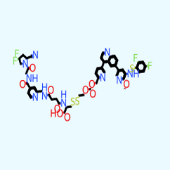 COc1ncc(-c2ccc3nccc(-c4ccc(COC(=O)OCCSSCC(NC(=O)CCC(=O)NCc5cc(C(=O)NCC(=O)N6CC(F)(F)CC6C#N)ccn5)C(=O)O)nc4)c3c2)cc1NSc1ccc(F)cc1F